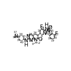 CC(C)n1c(=O)c(-c2cnc(NS(=O)(=O)Cc3ccccc3F)c(F)c2)cc2cnc(NC3CCC(N(C)C)CC3)nc21